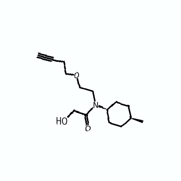 C#CCCOCCN(C(=O)CO)[C@H]1CC[C@@H](C)CC1